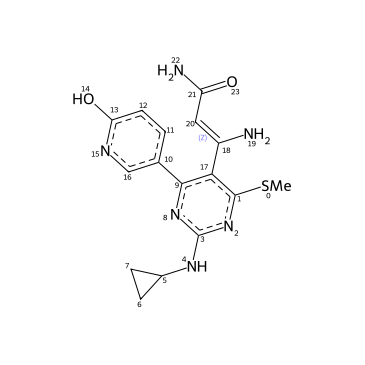 CSc1nc(NC2CC2)nc(-c2ccc(O)nc2)c1/C(N)=C/C(N)=O